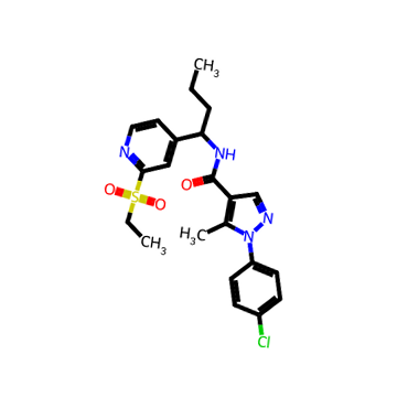 CCCC(NC(=O)c1cnn(-c2ccc(Cl)cc2)c1C)c1ccnc(S(=O)(=O)CC)c1